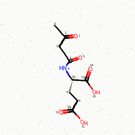 CC(=O)CC(=O)N[C@@H](CCC(=O)O)C(=O)O